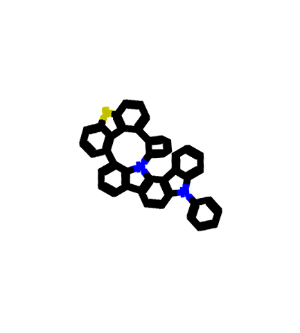 c1ccc(-n2c3ccccc3c3c2ccc2c4cccc5c6cccc7sc8cccc(c9ccccc9n(c54)c23)c8c76)cc1